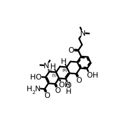 CN(C)CCC(=O)c1ccc(O)c2c1C[C@H]1C[C@H]3[C@@H](N(C)C)C(O)=C(C(N)=O)C(=O)[C@@]3(O)C(O)=C1C2=O